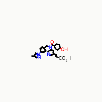 Cc1cnn(-c2ccc(CN(C(=O)C3CCC(O)CC3)c3cncc(C=CC(=O)O)c3)cc2)c1